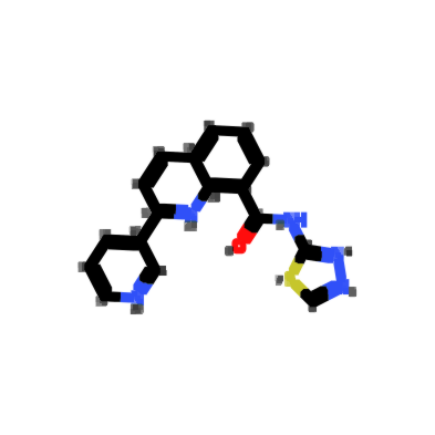 O=C(Nc1nncs1)c1cccc2ccc(-c3cccnc3)nc12